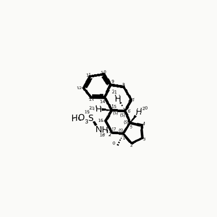 C[C@@]12CCC[C@H]1[C@@H]1CCc3ccccc3[C@H]1CC2.NS(=O)(=O)O